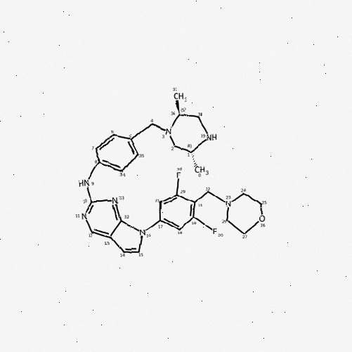 C[C@@H]1CN(Cc2ccc(Nc3ncc4ccn(-c5cc(F)c(CN6CCOCC6)c(F)c5)c4n3)cc2)[C@@H](C)CN1